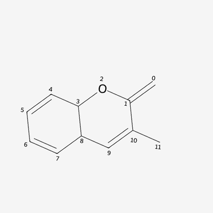 C=C1OC2C=CC=CC2C=C1C